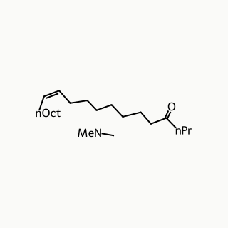 CCCCCCCC/C=C\CCCCCCCC(=O)CCC.CNC